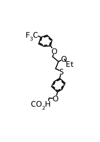 CCOC(COc1ccc(C(F)(F)F)cc1)CSc1ccc(OCC(=O)O)cc1